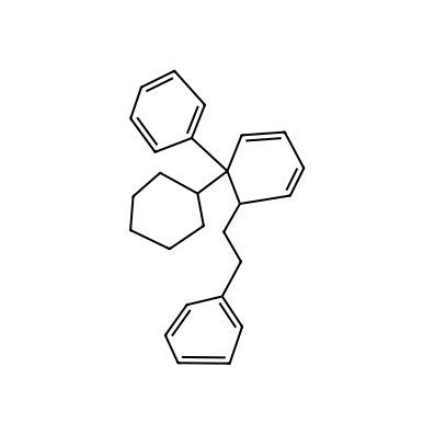 C1=CC(CCc2ccccc2)C(c2ccccc2)(C2CCCCC2)C=C1